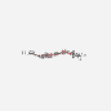 C=CC(=O)CCCC/C=C/Cc1ccc(C(=O)Oc2ccc(C#Cc3ccc(C#Cc4ccc(OCCCCOC(=O)C(=C)COC)cc4)cc3)cc2)cc1